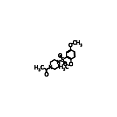 COc1ccc(OC)c(S(=O)(=O)N2CCN(C(C)=O)CC2)c1